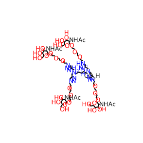 CC(=O)NC1C(OCCOCCOCCN/C=C(/CN(Cc2cn(CCOCCOCCOC3OC(CO)C(O)C(O)C3NC(C)=O)nn2)C(CCCCN(Cc2cn(CCOCCOCCOC3OC(CO)C(O)C(O)C3NC(C)=O)nn2)Cc2cn(CCOCCOCCOC3OC(CO)C(O)C(O)C3NC(C)=O)nn2)C(=O)O)NN)OC(CO)C(O)C1O